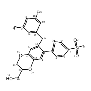 CS(=O)(=O)c1ccc(-c2cc3c(cc2Cc2cc(F)cc(F)c2)OCC(CO)O3)cc1